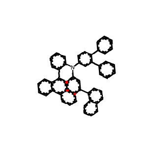 c1ccc(-c2ccc(N(c3cccc(-c4cccc5ccccc45)c3)c3ccccc3-c3cc4ccccc4c4ccccc34)cc2-c2ccccc2)cc1